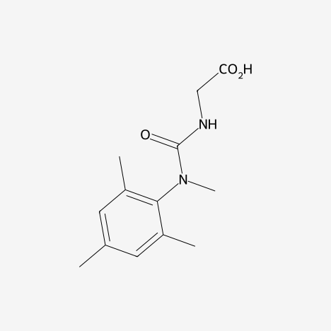 Cc1cc(C)c(N(C)C(=O)NCC(=O)O)c(C)c1